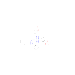 C=Cc1nc(-c2ccccc2)n(CCCC)c1CC(NCc1ccc(C(=O)OC)cc1)c1ccc2c(c1)OCCO2